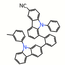 Cc1cccc(-n2c3ccccc3c3ccc(-c4ccccc4-c4cccc5c6cc(C#N)ccc6n(-c6ccccc6)c45)cc32)c1